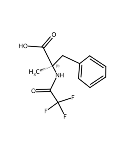 C[C@](Cc1ccccc1)(NC(=O)C(F)(F)F)C(=O)O